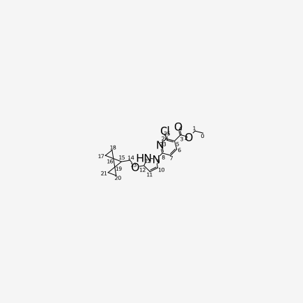 CCOC(=O)c1ccc(N2C=CC(OCC3C4(CC4)C34CC4)N2)nc1Cl